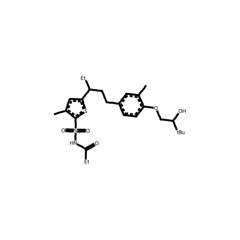 CCC(=O)NS(=O)(=O)c1sc(C(CC)CCc2ccc(OCC(O)C(C)(C)C)c(C)c2)cc1C